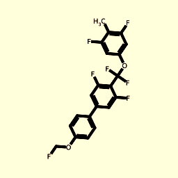 Cc1c(F)cc(OC(F)(F)c2c(F)cc(-c3ccc(OCF)cc3)cc2F)cc1F